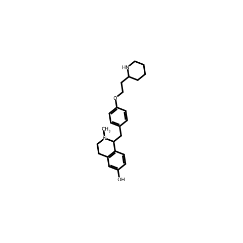 CN1CCc2cc(O)ccc2C1Cc1ccc(OCCC2CCCCN2)cc1